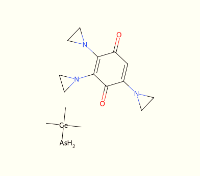 O=C1C=C(N2CC2)C(=O)C(N2CC2)=C1N1CC1.[CH3][Ge]([CH3])([CH3])[AsH2]